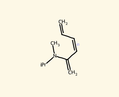 C=C/C=C\C(=C)N(C)C(C)C